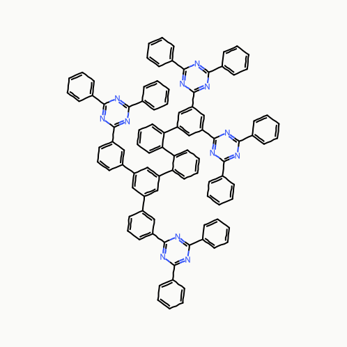 c1ccc(-c2nc(-c3ccccc3)nc(-c3cccc(-c4cc(-c5cccc(-c6nc(-c7ccccc7)nc(-c7ccccc7)n6)c5)cc(-c5ccccc5-c5ccccc5-c5cc(-c6nc(-c7ccccc7)nc(-c7ccccc7)n6)cc(-c6nc(-c7ccccc7)nc(-c7ccccc7)n6)c5)c4)c3)n2)cc1